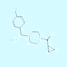 C[C@H](c1ccc(Br)cc1)N1CCN(C(=O)C2CC2)CC1